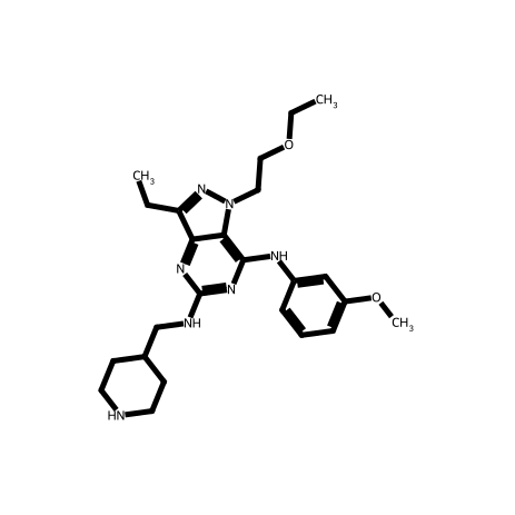 CCOCCn1nc(CC)c2nc(NCC3CCNCC3)nc(Nc3cccc(OC)c3)c21